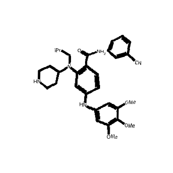 COc1cc(Nc2ccc(C(N)=O)c(N(CC(C)C)C3CCNCC3)c2)cc(OC)c1OC.N#Cc1ccccc1